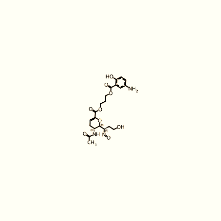 CC(=O)N[C@@H]1CC=C(C(=O)OCCCOC(=O)c2cc(N)ccc2O)O[C@H]1[C@@H](CCO)N=O